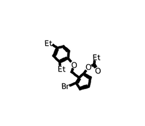 CCC(=O)Oc1cccc(Br)c1COc1ccc(CC)cc1CC